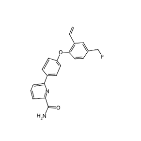 C=Cc1cc(CF)ccc1Oc1ccc(-c2cccc(C(N)=O)n2)cc1